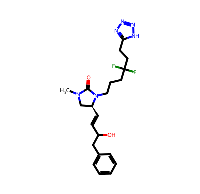 CN1C[C@H](/C=C/C(O)Cc2ccccc2)N(CCCC(F)(F)CCc2nnn[nH]2)C1=O